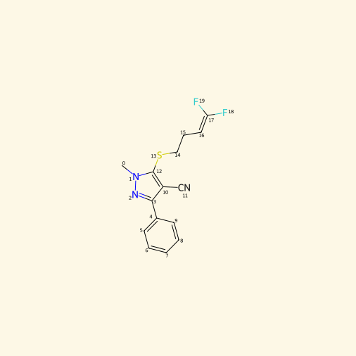 Cn1nc(-c2ccccc2)c(C#N)c1SCCC=C(F)F